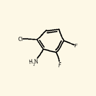 Nc1c(Cl)ccc(F)c1F